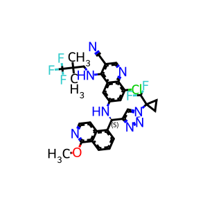 COc1nccc2c([C@H](Nc3cc(Cl)c4ncc(C#N)c(NCC(C)(C)C(F)(F)F)c4c3)c3cn(C4(C(F)F)CC4)nn3)cccc12